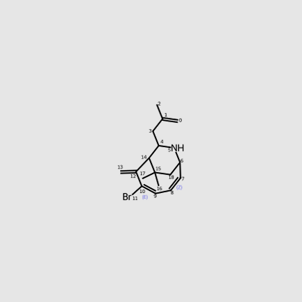 C=C(C)CC1NC2/C=C\C=C(\Br)C(=C)C1C(C)(C)C2